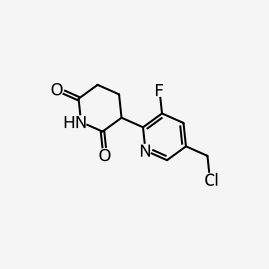 O=C1CCC(c2ncc(CCl)cc2F)C(=O)N1